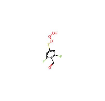 O=Cc1c(F)cc(SOOO)cc1F